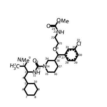 CNC(C)C(CC1CCCCC1)NC(=O)N1CCCC(C(OCCNC(=O)OC)c2cccc(Cl)c2)C1